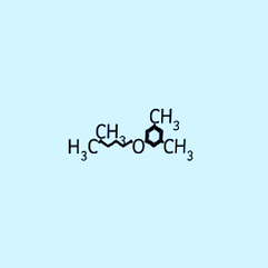 Cc1cc(C)cc(OCCCCC(C)C)c1